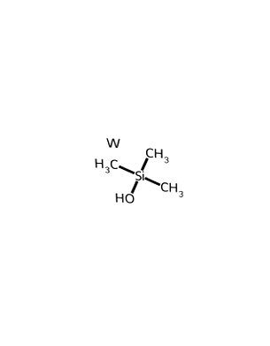 C[Si](C)(C)O.[W]